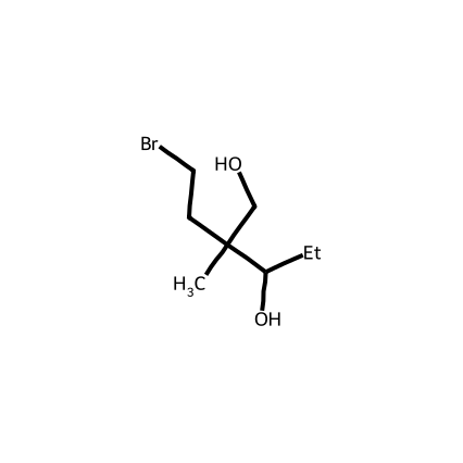 CCC(O)C(C)(CO)CCBr